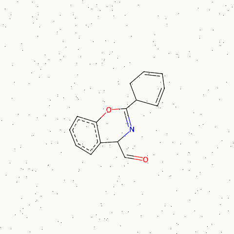 O=CC1N=C(C2C=CC=CC2)Oc2ccccc21